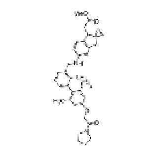 COC(=O)CC1c2ccc(NCc3cccc(-c4c(C)cc(OCC(=O)N5CCCC5)cc4C)c3C)cc2CC12CC2